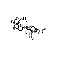 C=C(/C=N\C(C(=O)Nc1ccc(F)c([C@@]2(C)N=C(N)OCC2(F)F)n1)=C(N)N)OCC(F)(F)F